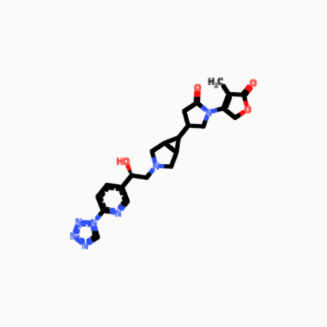 CC1=C(N2CC(C3C4CN(C[C@H](O)c5ccc(-n6cnnn6)nc5)CC43)CC2=O)COC1=O